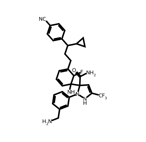 N#Cc1ccc(C(CCC2=CC=CC(N)(C3(C(N)=O)C=C(C(F)(F)F)NN3c3cccc(CN)c3)C2F)C2CC2)cc1